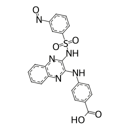 O=Nc1cccc(S(=O)(=O)Nc2nc3ccccc3nc2Nc2ccc(C(=O)O)cc2)c1